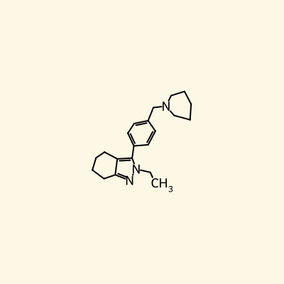 CCn1nc2c(c1-c1ccc(CN3CCCCC3)cc1)CCCC2